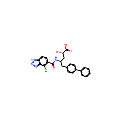 O=C(NC(Cc1ccc(-c2ccccc2)cc1)C[C@@H](O)C(=O)O)c1ccc2[nH]nnc2c1Cl